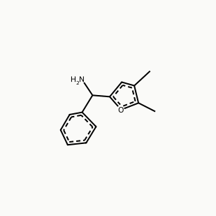 Cc1cc(C(N)c2ccccc2)oc1C